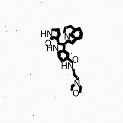 O=C(NCCCN1CCOCC1)c1ccc2c(c1)C(c1cc3cccc4c3n1CCC4)C(c1ccc[nH]c1=O)N2